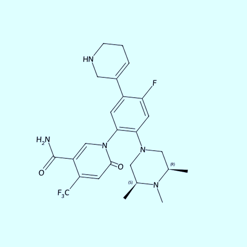 C[C@@H]1CN(c2cc(F)c(C3=CCCNC3)cc2-n2cc(C(N)=O)c(C(F)(F)F)cc2=O)C[C@H](C)N1C